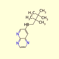 CC(C)(C)C(C)(C)CBc1cnc2nccnc2c1